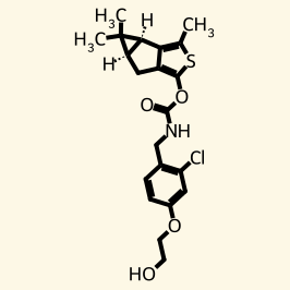 Cc1sc(OC(=O)NCc2ccc(OCCO)cc2Cl)c2c1[C@H]1[C@@H](C2)C1(C)C